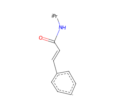 CC(C)NC(=O)C=Cc1cc[c]cc1